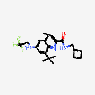 Cc1cc(C(=O)NCC2CCC2)nc2c(C(C)(C)C)cc(NCC(F)(F)F)cc12